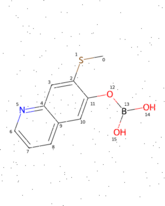 CSc1cc2ncccc2cc1OB(O)O